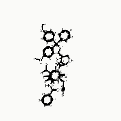 COc1ccc(C(SCC23COC(C(n4cc(C)c(NC(=O)c5ccccc5)nc4=O)O2)C3OP(OCCC#N)N(C(C)C)C(C)C)(c2ccccc2)c2ccc(OC)cc2)cc1